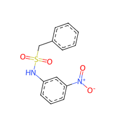 O=[N+]([O-])c1cccc(NS(=O)(=O)Cc2ccccc2)c1